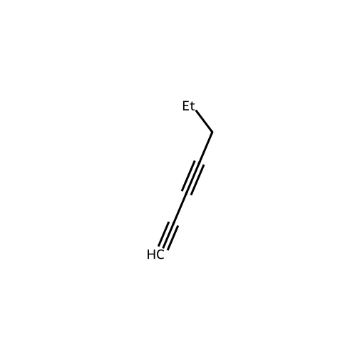 C#CC#CCC[CH2]